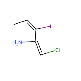 C/C=C(I)\C(N)=C/Cl